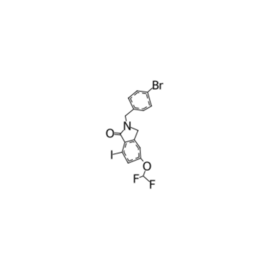 O=C1c2c(I)cc(OC(F)F)cc2CN1Cc1ccc(Br)cc1